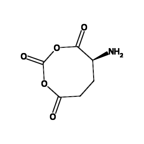 N[C@H]1CCC(=O)OC(=O)OC1=O